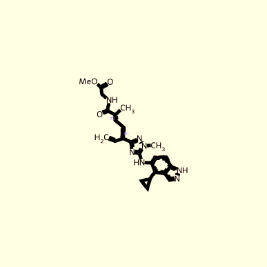 C=C/C(=C\C=C(/C)C(=O)NCC(=O)OC)c1nc(Nc2ccc3[nH]ncc3c2C2CC2)n(C)n1